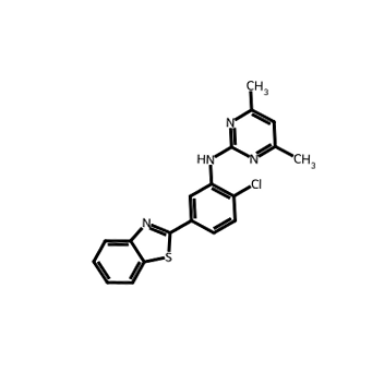 Cc1cc(C)nc(Nc2cc(-c3nc4ccccc4s3)ccc2Cl)n1